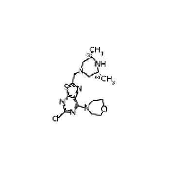 C[C@@H]1CN(Cc2nc3c(N4CCOCC4)nc(Cl)nc3s2)C[C@H](C)N1